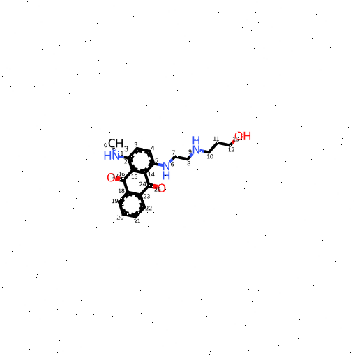 CNc1ccc(NCCNCCCO)c2c1C(=O)c1ccccc1C2=O